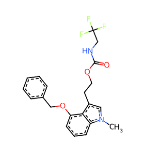 Cn1cc(CCOC(=O)NCC(F)(F)F)c2c(OCc3ccccc3)cccc21